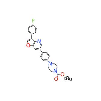 CC(C)(C)OC(=O)N1CCN(c2ccc(-c3cnc4c(-c5ccc(F)cc5)coc4c3)cc2)CC1